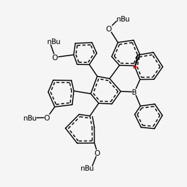 CCCCOc1cccc(-c2cc(B(c3ccccc3)c3ccccc3)c(-c3cccc(OCCCC)c3)c(-c3cccc(OCCCC)c3)c2-c2cccc(OCCCC)c2)c1